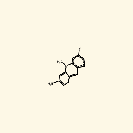 CN1C2=CC(N)=CCC2=Cc2ccc(N)cc21